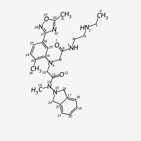 CCNCCNC(=O)CN(CC(=O)N(C)N1Cc2ccccc2C1)c1cc(-c2noc(C)n2)ccc1C